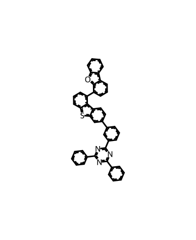 c1ccc(-c2nc(-c3ccccc3)nc(-c3cccc(-c4ccc5c(c4)sc4cccc(-c6cccc7c6oc6ccccc67)c45)c3)n2)cc1